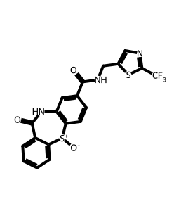 O=C(NCc1cnc(C(F)(F)F)s1)c1ccc2c(c1)NC(=O)c1ccccc1[S+]2[O-]